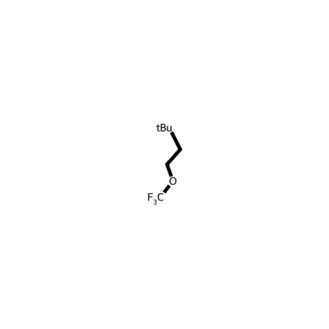 CC(C)(C)CCOC(F)(F)F